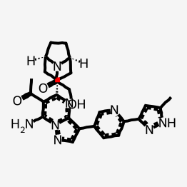 CC(=O)c1c([C@@H]2C[C@H]3CC[C@@H](C2)N3C(=O)CO)nc2c(-c3ccc(-c4cc(C)[nH]n4)nc3)cnn2c1N